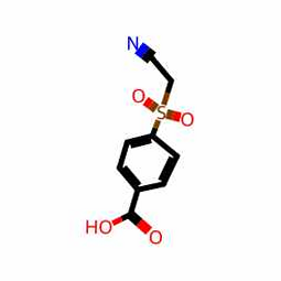 N#CCS(=O)(=O)c1ccc(C(=O)O)cc1